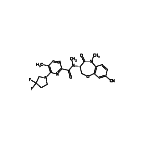 Cc1cnc(C(=O)N(C)[C@H]2COc3cc(C#N)ccc3N(C)C2=O)nc1N1CCC(F)(F)C1